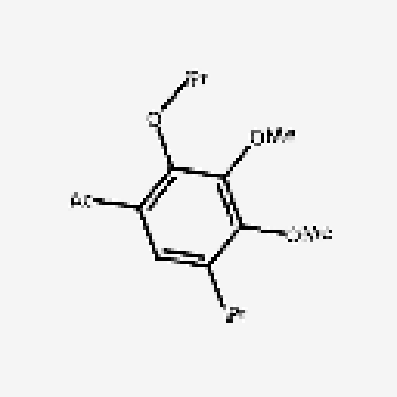 COc1c(C(C)C)cc(C(C)=O)c(OC(C)C)c1OC